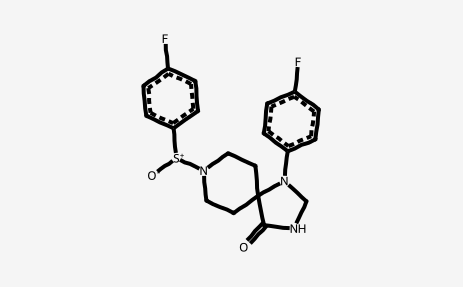 O=C1NCN(c2ccc(F)cc2)C12CCN([S+]([O-])c1ccc(F)cc1)CC2